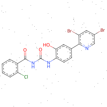 O=C(NC(=O)c1ccccc1Cl)Nc1ccc(-c2ncc(Br)cc2Br)cc1O